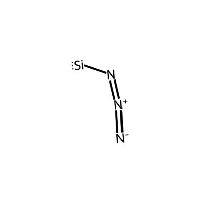 [N-]=[N+]=N[Si]